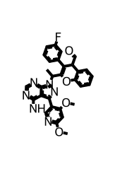 COc1cc(OC)c(-c2nn(C(C)C3=C(c4cccc(F)c4)C(C=O)c4ccccc4O3)c3ncnc(N)c23)cn1